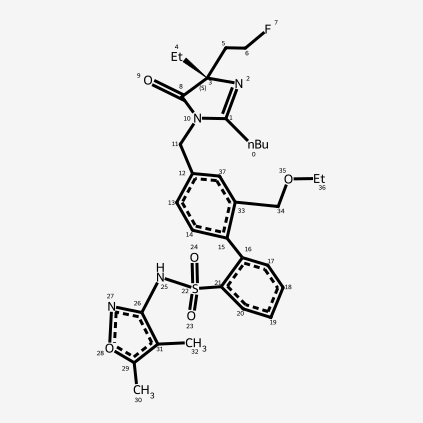 CCCCC1=N[C@@](CC)(CCF)C(=O)N1Cc1ccc(-c2ccccc2S(=O)(=O)Nc2noc(C)c2C)c(COCC)c1